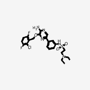 CCN(CC)CCS(=O)(=O)Nc1cccc(-c2cnc(N)c(OCc3c(F)ccc(F)c3Cl)n2)c1